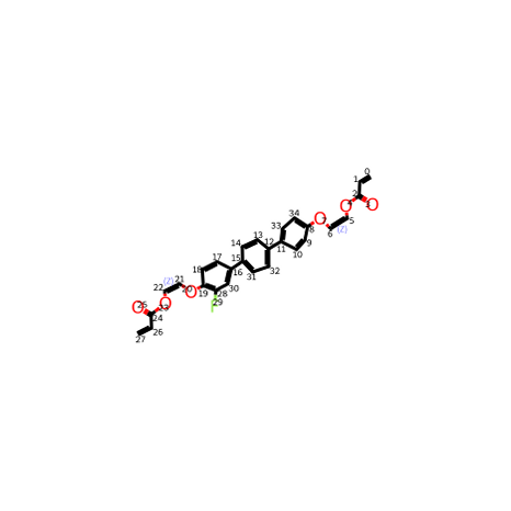 C=CC(=O)O/C=C\Oc1ccc(-c2ccc(-c3ccc(O/C=C\OC(=O)C=C)c(F)c3)cc2)cc1